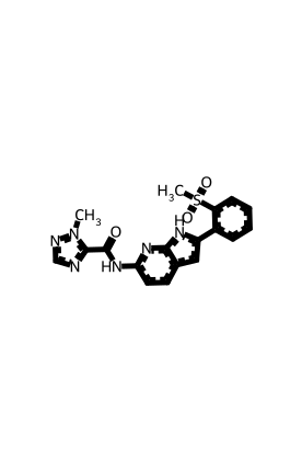 Cn1ncnc1C(=O)Nc1ccc2cc(-c3ccccc3S(C)(=O)=O)[nH]c2n1